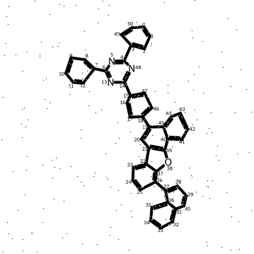 c1ccc(-c2nc(-c3ccccc3)nc(-c3ccc(-c4cc5c6cccc(-c7cccc8ccccc78)c6oc5c5ccccc45)cc3)n2)cc1